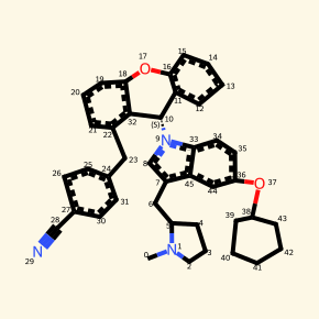 CN1CCCC1Cc1cn([C@H]2c3ccccc3Oc3cccc(Cc4ccc(C#N)cc4)c32)c2ccc(OC3CCCCC3)cc12